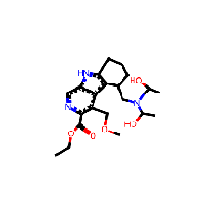 CCOC(=O)c1ncc2[nH]c3c(c2c1COC)C(CN(C(C)O)C(C)O)CCC3